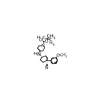 COc1cccc([C@]2(C#N)CC[C@@H](NC3CCN(C(=O)OC(C)(C)C)CC3)CC2)c1